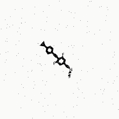 Fc1cc(C#CN=C=S)cc(F)c1C#Cc1ccc(C2CC2)cc1